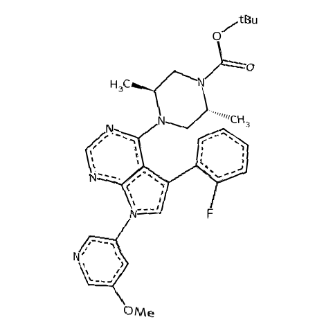 COc1cncc(-n2cc(-c3ccccc3F)c3c(N4C[C@@H](C)N(C(=O)OC(C)(C)C)C[C@@H]4C)ncnc32)c1